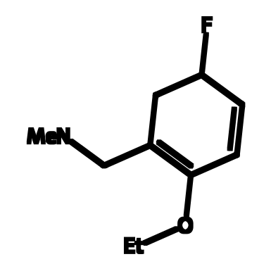 CCOC1=C(CNC)CC(F)C=C1